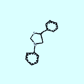 c1ccc(C2CN(c3ccccc3)CS2)cc1